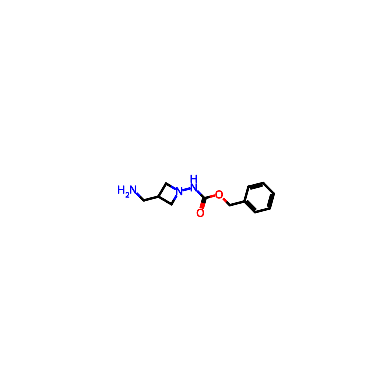 NCC1CN(NC(=O)OCc2ccccc2)C1